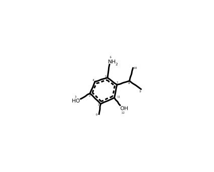 Cc1c(O)cc(N)c(C(C)C)c1O